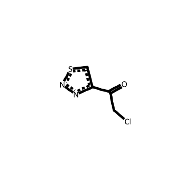 O=C(CCl)c1csnn1